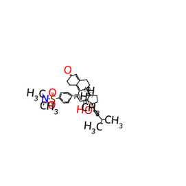 CC(C)C#C[C@]1(O)CC[C@H]2[C@@H]3CCC4=CC(=O)CCC4=C3[C@@H](c3ccc(S(=O)(=O)N(C)C)cc3)C[C@@]21C